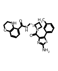 Cc1cccc(-c2sc(N)nc2C(=O)N2CC[C@H]2CNC(=O)c2cccc3c2NCCO3)c1